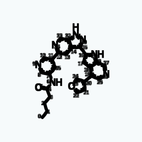 CCCCC(=O)Nc1cncc(-c2cc3c(-c4cc5c(-c6ccoc6)cncc5[nH]4)n[nH]c3cn2)c1